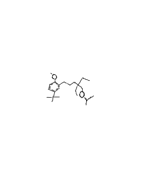 CCC(CC)(CCCc1cc(C(C)(C)C)ccc1OC)COC(C)C